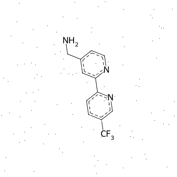 NCc1ccnc(-c2ccc(C(F)(F)F)cn2)c1